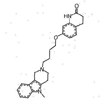 Cn1c2c(c3ccccc31)CN(CCCCOc1ccc3c(c1)NC(=O)CC3)CC2